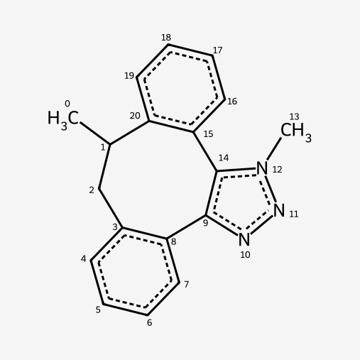 CC1Cc2ccccc2-c2nnn(C)c2-c2ccccc21